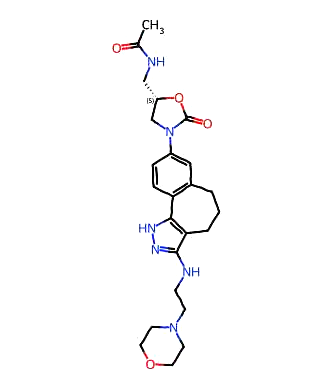 CC(=O)NC[C@H]1CN(c2ccc3c(c2)CCCc2c(NCCN4CCOCC4)n[nH]c2-3)C(=O)O1